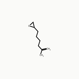 C=C(C)CCCCC1CO1